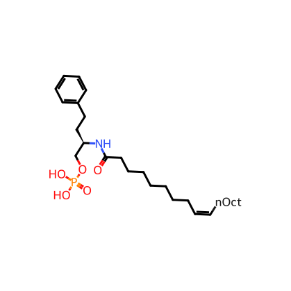 CCCCCCCC/C=C\CCCCCCCC(=O)N[C@H](CCc1ccccc1)COP(=O)(O)O